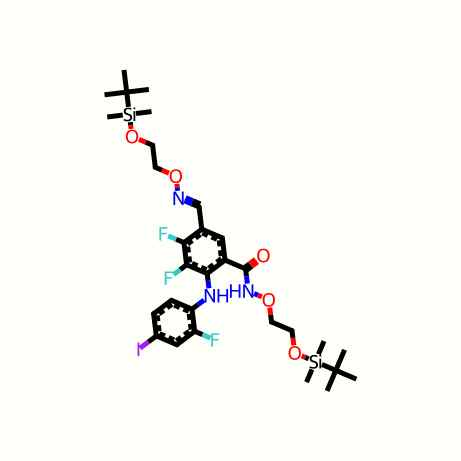 CC(C)(C)[Si](C)(C)OCCO/N=C/c1cc(C(=O)NOCCO[Si](C)(C)C(C)(C)C)c(Nc2ccc(I)cc2F)c(F)c1F